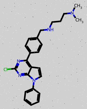 CN(C)CCCNCc1ccc(-c2nc(Cl)nc3c2ccn3-c2ccccc2)cc1